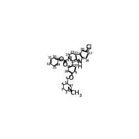 CN1CCCC(COc2ccc(C3c4[nH]c5ccc(Cl)cc5c4CCN3C(=O)Oc3ccccc3)cc2)C1